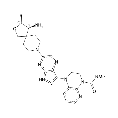 CNC(=O)N1CCN(c2n[nH]c3nc(N4CCC5(CC4)CO[C@@H](C)[C@H]5N)cnc23)c2cccnc21